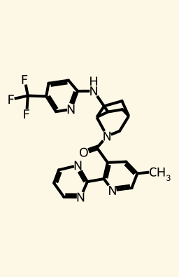 Cc1cnc(-c2ncccn2)c(C(=O)N2CC3CCC2C(Nc2ccc(C(F)(F)F)cn2)C3)c1